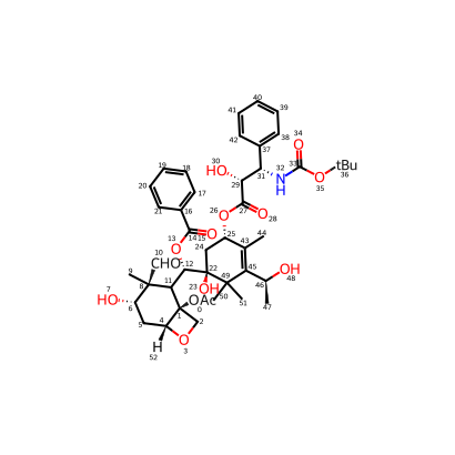 CC(=O)O[C@@]12CO[C@@H]1C[C@H](O)[C@@](C)(C=O)C2[C@H](OC(=O)c1ccccc1)[C@]1(O)C[C@H](OC(=O)[C@H](O)[C@@H](NC(=O)OC(C)(C)C)c2ccccc2)C(C)=C([C@H](C)O)C1(C)C